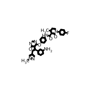 Cc1ccn(-c2ccc(F)cc2)c(=O)c1C(=O)Nc1ccc(Oc2ncnc3oc(-c4cnn(C)c4)c(-c4cccc(N)c4)c23)cc1